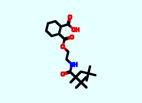 CC(C)(C)CC(C)(C(=O)NCCOC(=O)C1CCCCC1C(=O)O)C(C)(C)C